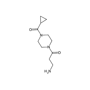 NCCC(=O)N1CCN(C(=O)C2CC2)CC1